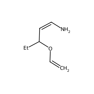 C=COC(/C=C\N)CC